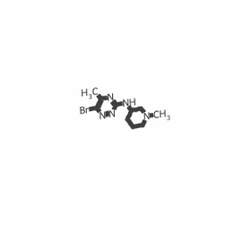 Cc1nc(NC2CCCN(C)C2)nnc1Br